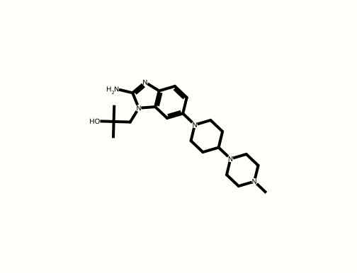 CN1CCN(C2CCN(c3ccc4nc(N)n(CC(C)(C)O)c4c3)CC2)CC1